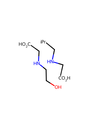 CC(C)CNCC(=O)O.O=C(O)CNCCO